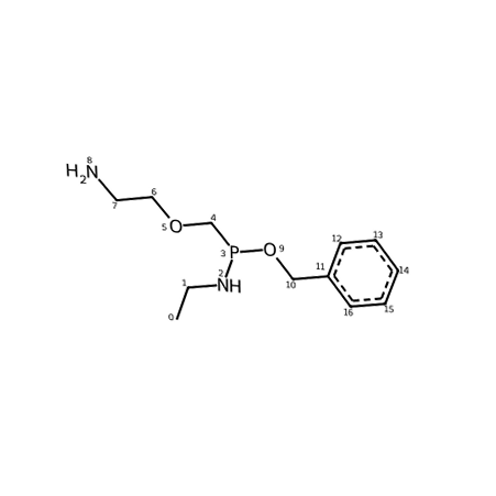 CCNP(COCCN)OCc1ccccc1